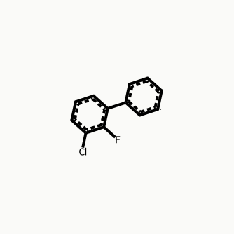 Fc1c(Cl)cccc1-c1c[c]ccc1